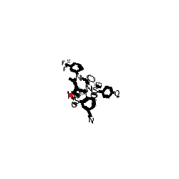 COc1ccc(S(=O)(=O)N2C(=O)N(c3cccc(C(F)(F)F)c3)C(C)=C(C#N)[C@H]2c2ccc(C#N)cc2S(C)(=O)=O)cc1